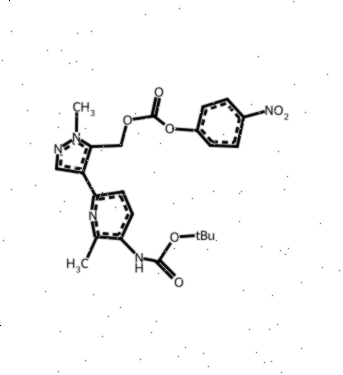 Cc1nc(-c2cnn(C)c2COC(=O)Oc2ccc([N+](=O)[O-])cc2)ccc1NC(=O)OC(C)(C)C